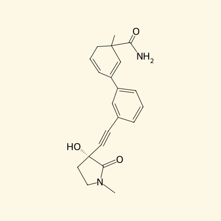 CN1CC[C@@](O)(C#Cc2cccc(C3=CC(C)(C(N)=O)CC=C3)c2)C1=O